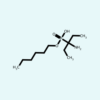 CCCCCCOP(=O)(O)C(N)(CC)CC